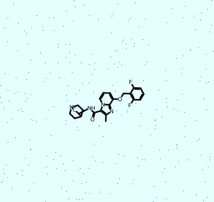 Cc1nc2c(OCc3c(F)cccc3F)cccn2c1C(=O)NC1CN2CCC1CC2